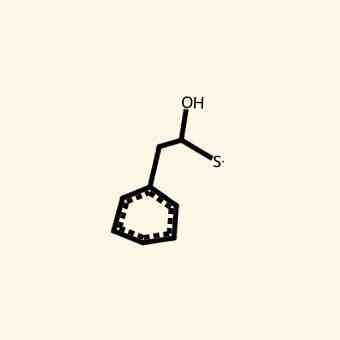 OC([S])Cc1ccccc1